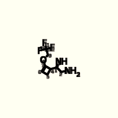 N=C(CN)C1CC=C1OCC(F)(F)F